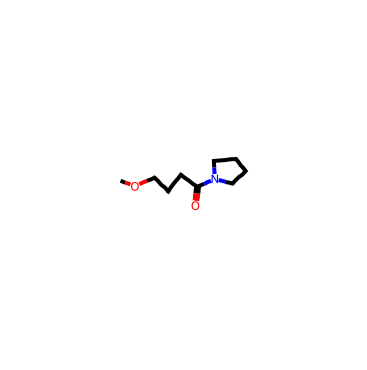 COCCCC(=O)N1CCCC1